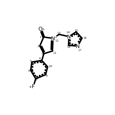 O=C1C=C(c2ccc(F)cc2)C=[N+]1Cn1ccnc1